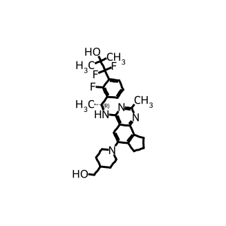 Cc1nc(N[C@H](C)c2cccc(C(F)(F)C(C)(C)O)c2F)c2cc(N3CCC(CO)CC3)c3c(c2n1)CCC3